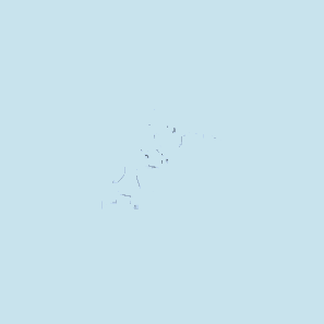 CC(C)(C)OC(=O)N1CCC[C@H]1c1nc2c([nH]1)-c1ccc(Br)c(F)c1CC2